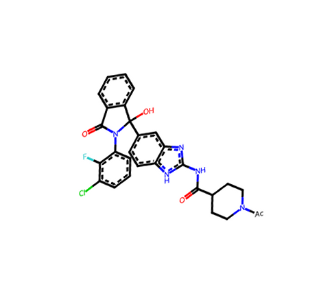 CC(=O)N1CCC(C(=O)Nc2nc3cc(C4(O)c5ccccc5C(=O)N4c4cccc(Cl)c4F)ccc3[nH]2)CC1